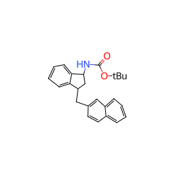 CC(C)(C)OC(=O)NC1CC(Cc2ccc3ccccc3c2)c2ccccc21